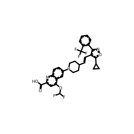 O=C(O)c1cc(OC(F)F)c2cc(N3CCC(/C=C/c4c(-c5ccccc5C(F)(F)F)noc4C4CC4)CC3)ccc2n1